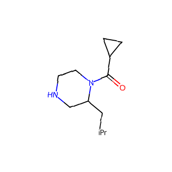 CC(C)CC1CNCCN1C(=O)C1CC1